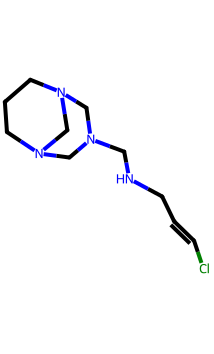 Cl/C=C/CNCN1CN2CCCN(C2)C1